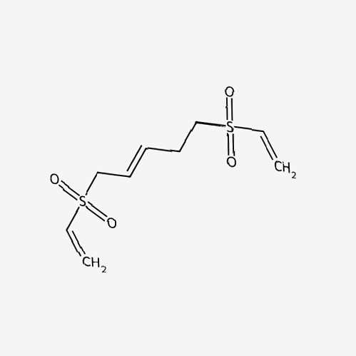 C=CS(=O)(=O)CC=CCCS(=O)(=O)C=C